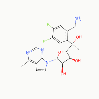 Cc1ncnc2c1ccn2[C@@H]1O[C@H]([C@](C)(O)c2cc(F)c(F)cc2CN)[C@@H](O)[C@H]1O